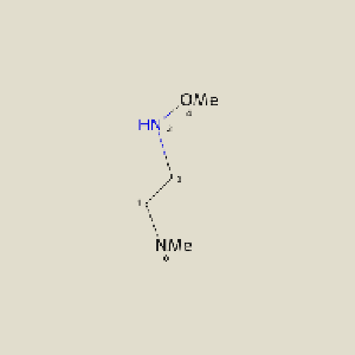 [CH2]NCCNOC